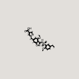 CCc1ccc(OC)c(S(=O)(=O)Nc2noc3cc(Cn4cc(C(=O)O)cn4)cc(OC)c23)c1